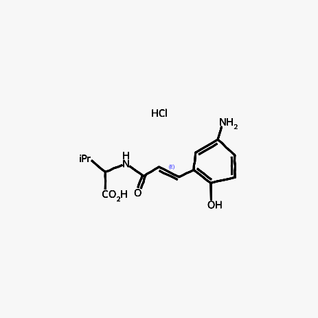 CC(C)C(NC(=O)/C=C/c1cc(N)ccc1O)C(=O)O.Cl